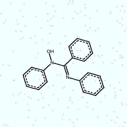 ON(/C(=N/c1ccccc1)c1ccccc1)c1ccccc1